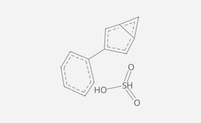 O=[SH](=O)O.c1ccc(-c2cc3cc-3c2)cc1